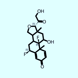 CC12CC(O)[C@@]3(F)C(C[C@H](F)C4=CC(=O)C=CC43C)C1CO[C@@H]2C(=O)CO